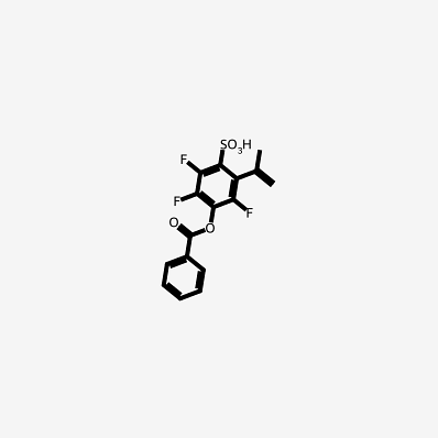 C=C(C)c1c(F)c(OC(=O)c2ccccc2)c(F)c(F)c1S(=O)(=O)O